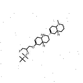 CN1CCC[C@@H]2CC([C@@H]3CC[C@@H]4CC(OCC(CF)O[Si](C)(C)C(C)(C)C)=CCC4N3)=CCC21